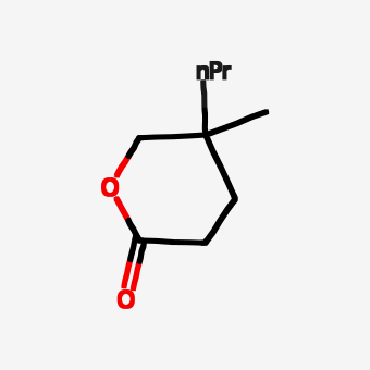 CCCC1(C)CCC(=O)OC1